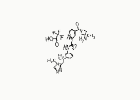 CC(Cc1nncn1C)c1cccc(NC(=O)c2cc(C(=O)N3CC[C@@](C)(N)C3)ccn2)c1.O=C(O)C(F)(F)F